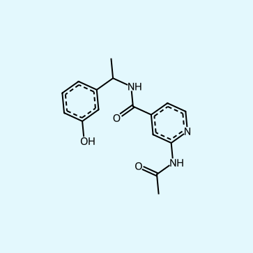 CC(=O)Nc1cc(C(=O)NC(C)c2cccc(O)c2)ccn1